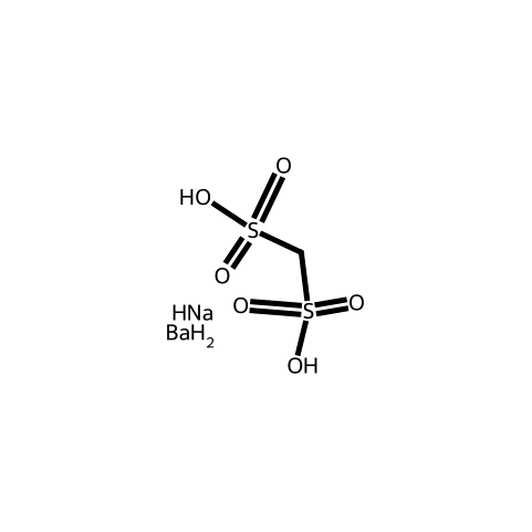 O=S(=O)(O)CS(=O)(=O)O.[BaH2].[NaH]